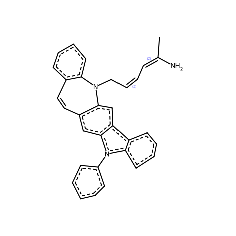 C/C(N)=C/C=C\CN1c2ccccc2C=Cc2cc3c(cc21)c1ccccc1n3-c1ccccc1